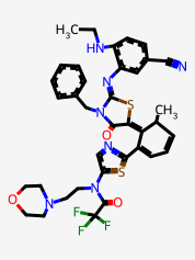 CCNc1ccc(C#N)cc1N=C1SC(=C2C(c3ncc(N(CCN4CCOCC4)C(=O)C(F)(F)F)s3)=CC=CC2C)C(=O)N1Cc1ccccc1